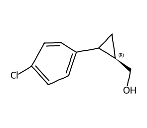 OC[C@@H]1CC1c1ccc(Cl)cc1